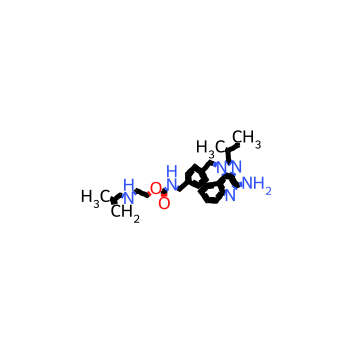 C=C(C)CNCCOC(=O)NCc1ccc(Cn2c(C(C)CC)nc3c(N)nc4ccccc4c32)cc1